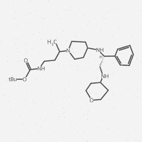 CC(CCNC(=O)OC(C)(C)C)N1CCC(N[C@@H](CNC2CCOCC2)c2ccccc2)CC1